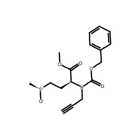 C#CCN(C(=O)OCc1ccccc1)[C@@H](CC[S@+](C)[O-])C(=O)OC